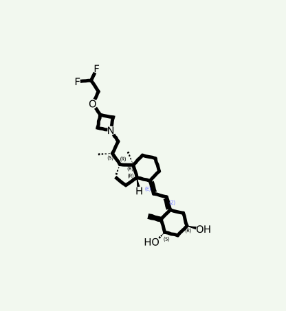 C=C1/C(=C\C=C2/CCC[C@]3(C)[C@@H]([C@H](C)CN4CC(OCC(F)F)C4)CC[C@@H]23)C[C@@H](O)C[C@@H]1O